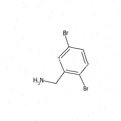 NCc1[c]c(Br)ccc1Br